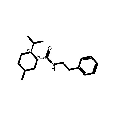 CC1CC[C@@H](C(C)C)[C@H](C(=O)NCCc2ccccc2)C1